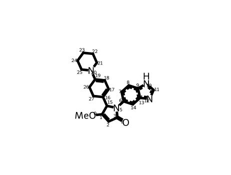 COC1=CC(=O)N(c2ccc3[nH]cnc3c2)C1C1=CC=C(N2CCCCC2)CC1